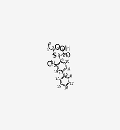 CCC(=O)SC(C(=O)O)c1ccc(-c2ccccc2)cc1Cl